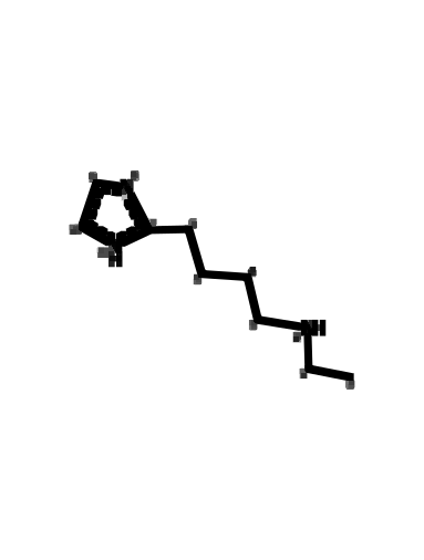 CCNCCCCc1ncc[nH]1